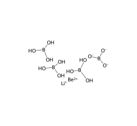 OB(O)O.OB(O)O.OB(O)O.[Be+2].[Li+].[O-]B([O-])[O-]